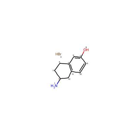 Br.NC1CCc2cc(O)ccc2C1